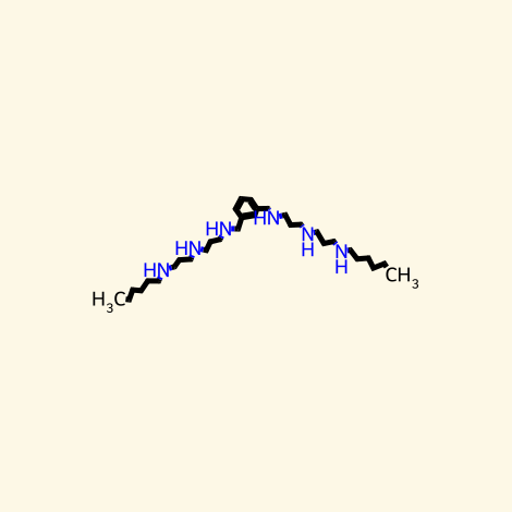 CCCCCCNCCCNCCCNCc1cccc(CNCCCNCCCNCCCCCC)c1